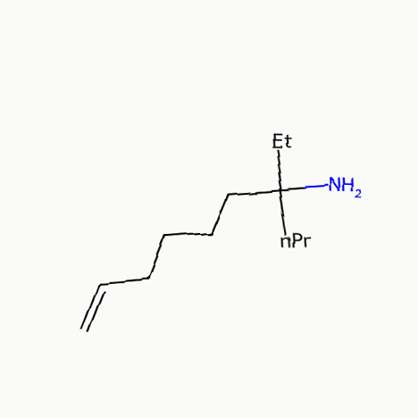 C=CCCCCC(N)(CC)CCC